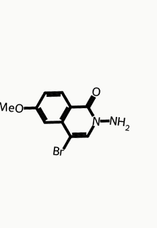 COc1ccc2c(=O)n(N)cc(Br)c2c1